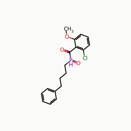 COc1cccc(Cl)c1C(=O)[PH](=O)CCCCc1ccccc1